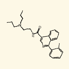 CCCN(CCC)CCNC(=O)c1cnc(-c2ccccc2C)c2ccccc12